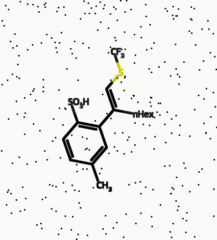 CCCCCCC(=CSC(F)(F)F)c1cc(C)ccc1S(=O)(=O)O